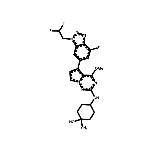 COc1nc(NC2CCC(C)(O)CC2)nn2ccc(-c3cc(F)c4nnn(CC(F)F)c4c3)c12